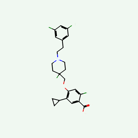 O=C(O)c1cc(C2CC2)c(OCC2(F)CCN(CCc3cc(Cl)cc(Cl)c3)CC2)cc1F